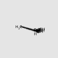 CCCCCCCCCCCCCCCCCCCCCC(=O)Nc1ccn(C2OC(CO)C(O)C2O)c(=O)n1